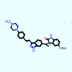 COc1ccc2c(c1)[C@]1(CC1c1ccc3c(/C=C/c4ccc(N5CCN(C)CC5)cc4)n[nH]c3c1)C(=O)N2